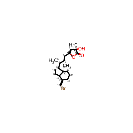 C[C@H](CCC1=C[C@](C)(O)C(=O)O1)[C@H]1CCC2/C(=C/Br)CCC[C@@]21C